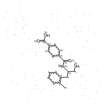 Cc1ccccc1CC(CS)NC(=O)c1ccc(C(=O)O)cc1